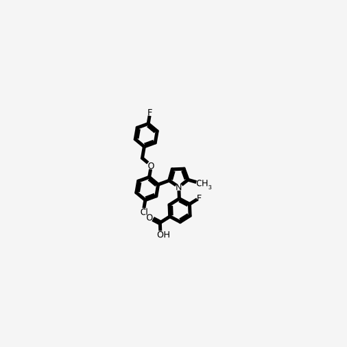 Cc1ccc(-c2cc(Cl)ccc2OCc2ccc(F)cc2)n1-c1cc(C(=O)O)ccc1F